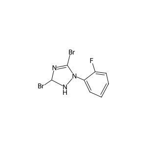 Fc1ccccc1N1NC(Br)N=C1Br